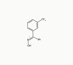 CC(C)/C(=N\O)c1cccc(C(F)(F)F)c1